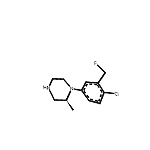 C[C@H]1CNCCN1c1ccc(Cl)c(CF)c1